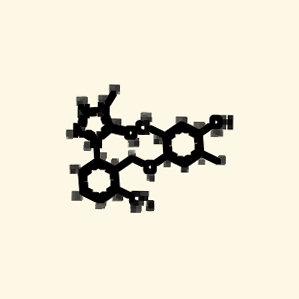 Cc1cc(OCc2c(-n3nnn(C)c3=O)cccc2C(F)(F)F)c(Cl)cc1O